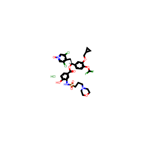 Cl.O=C(O[C@@H](Cc1c(Cl)c[n+]([O-])cc1Cl)c1ccc(OC(F)F)c(OCC2CC2)c1)c1ccc(O)c(NS(=O)(=O)CCCN2CCOCC2)c1